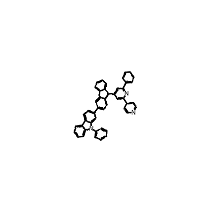 c1ccc(-c2cc(C3c4ccccc4-c4cc(-c5ccc6c7ccccc7n(-c7ccccc7)c6c5)ccc43)cc(-c3ccncc3)n2)cc1